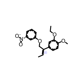 C/C=C(\COc1cccc([N+](=O)[O-])c1)c1ccc(OC)c(OCC)c1